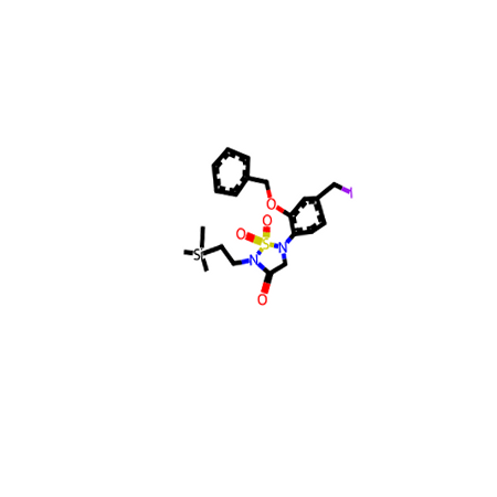 C[Si](C)(C)CCN1C(=O)CN(c2ccc(CI)cc2OCc2ccccc2)S1(=O)=O